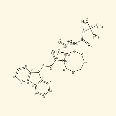 CC(C)(C)OC(=O)NC1CCCCCN(C(=O)OCC2c3ccccc3-c3ccccc32)[C@]1(C)C(=O)O